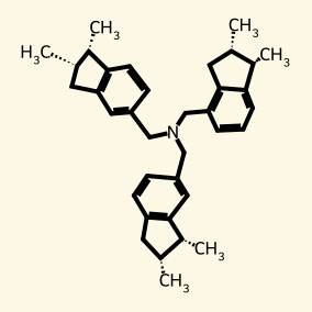 C[C@@H]1Cc2ccc(CN(Cc3ccc4c(c3)C[C@H](C)[C@@H]4C)Cc3cccc4c3C[C@H](C)[C@@H]4C)cc2[C@@H]1C